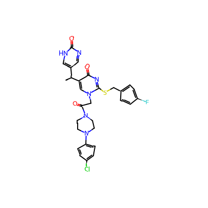 CC(c1cnc(=O)[nH]c1)c1cn(CC(=O)N2CCN(c3ccc(Cl)cc3)CC2)c(SCc2ccc(F)cc2)nc1=O